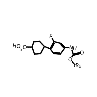 CC(C)(C)OC(=O)Nc1ccc(C2CCC(C(=O)O)CC2)c(F)c1